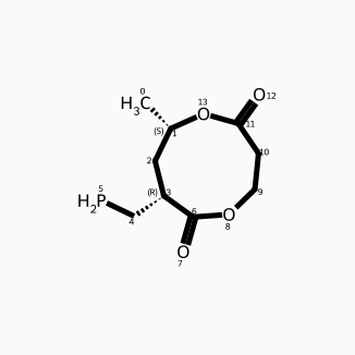 C[C@H]1C[C@@H](CP)C(=O)OCCC(=O)O1